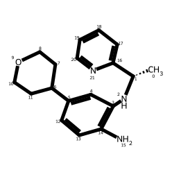 C[C@H](Nc1cc(C2CCOCC2)ccc1N)c1ccccn1